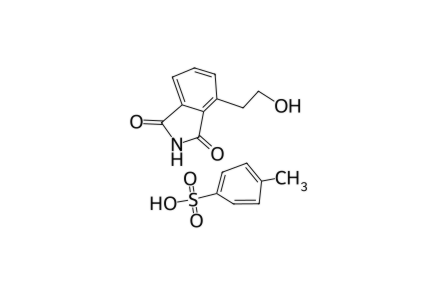 Cc1ccc(S(=O)(=O)O)cc1.O=C1NC(=O)c2c(CCO)cccc21